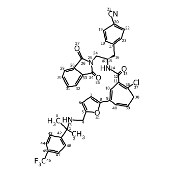 CC(C)(NCc1ccc(C2=CC(C(=O)N[C@H](Cc3ccc(C#N)cc3)CN3C(=O)c4ccccc4C3=O)=C(Cl)CC=C2)o1)c1ccc(C(F)(F)F)cc1